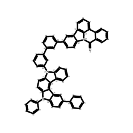 O=c1c2ccccc2c2cccc3c4cc(-c5cccc(-c6cccc(-n7c8ccccc8c8c9c%10cc(-c%11ccccc%11)ccc%10n(-c%10ccccc%10)c9ccc87)c6)c5)ccc4n1c23